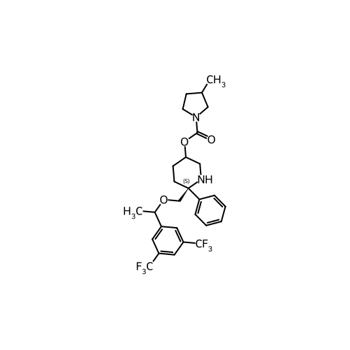 CC1CCN(C(=O)OC2CC[C@@](COC(C)c3cc(C(F)(F)F)cc(C(F)(F)F)c3)(c3ccccc3)NC2)C1